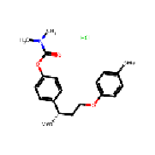 CN[C@@H](CCOc1ccc(SC)cc1)c1ccc(OC(=O)N(C)C)cc1.Cl